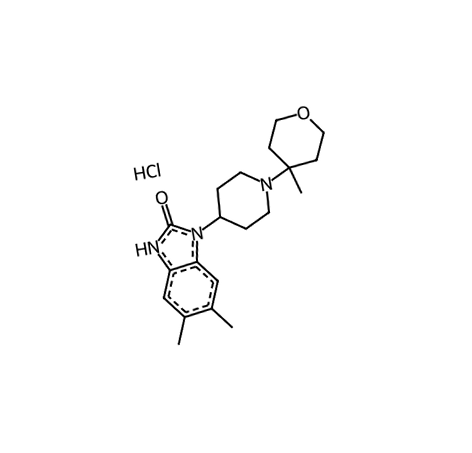 Cc1cc2[nH]c(=O)n(C3CCN(C4(C)CCOCC4)CC3)c2cc1C.Cl